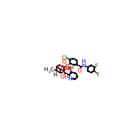 C[C@H]1C2CC(S(=O)(=O)c3cc(C(=O)Nc4ccc(F)c(F)c4)ccc3Cl)CC1[C@@]2(O)C(O)C(O)c1ncccc1F